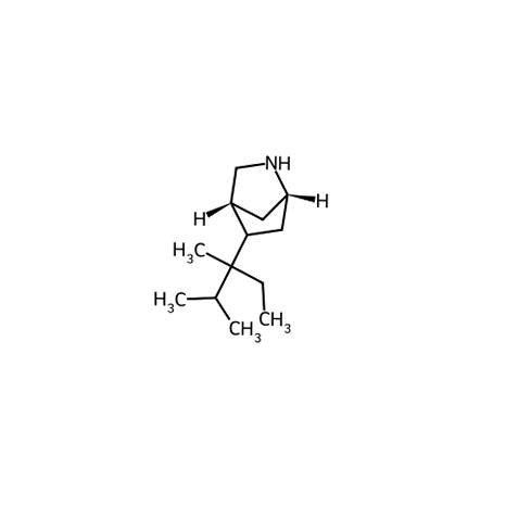 CCC(C)(C(C)C)C1C[C@@H]2C[C@H]1CN2